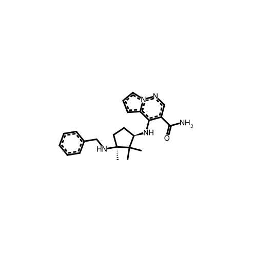 CC1(C)[C@H](Nc2c(C(N)=O)cnn3cccc23)CC[C@]1(C)NCc1ccccc1